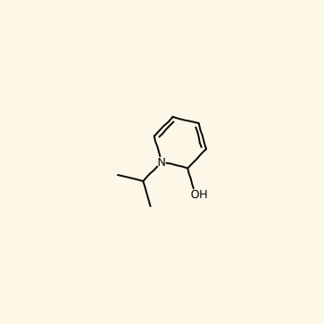 CC(C)N1C=CC=CC1O